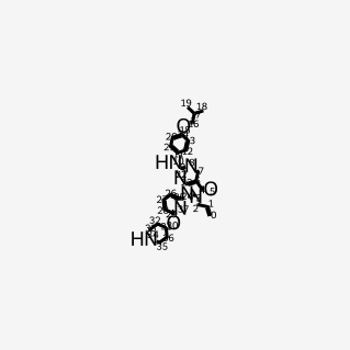 C=CCn1c(=O)c2cnc(Nc3ccc(OCC(C)C)cc3)nc2n1-c1cccc(OC2CCNCC2)n1